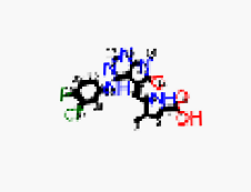 Cc1cc(C(=O)O)[nH]c1C=C1C(=O)N(C)c2ncnc(Nc3ccc(F)c(Cl)c3)c21